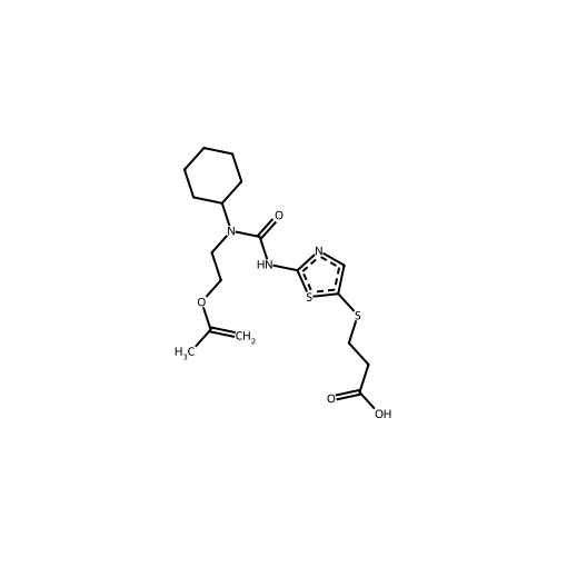 C=C(C)OCCN(C(=O)Nc1ncc(SCCC(=O)O)s1)C1CCCCC1